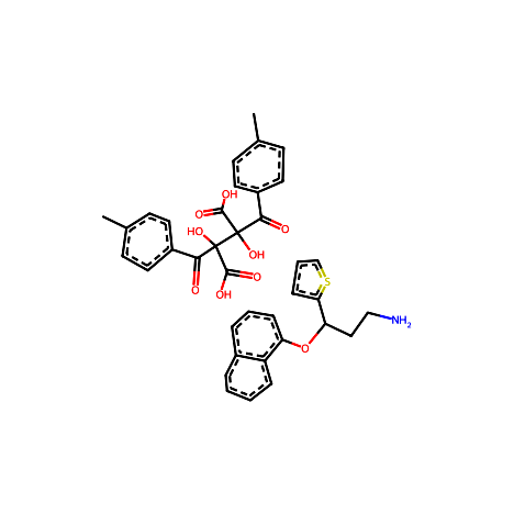 Cc1ccc(C(=O)C(O)(C(=O)O)C(O)(C(=O)O)C(=O)c2ccc(C)cc2)cc1.NCCC(Oc1cccc2ccccc12)c1cccs1